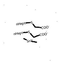 CCCCCCCSCC(=O)[O-].CCCCCCCSCC(=O)[O-].[CH3][Sn+2][CH3]